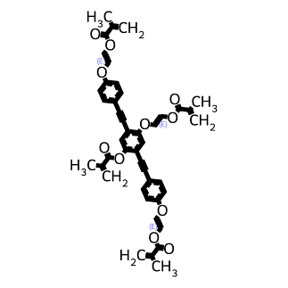 C=C(C)C(=O)O/C=C/Oc1ccc(C#Cc2cc(OC(=O)C(=C)C)c(C#Cc3ccc(O/C=C/OC(=O)C(=C)C)cc3)cc2O/C=C/OC(=O)C(=C)C)cc1